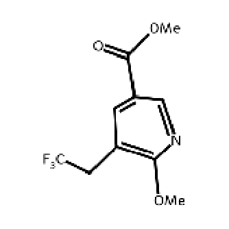 COC(=O)c1cnc(OC)c(CC(F)(F)F)c1